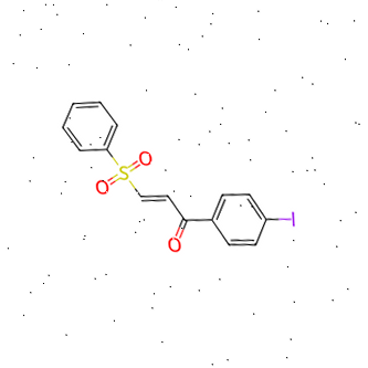 O=C(/C=C/S(=O)(=O)c1ccccc1)c1ccc(I)cc1